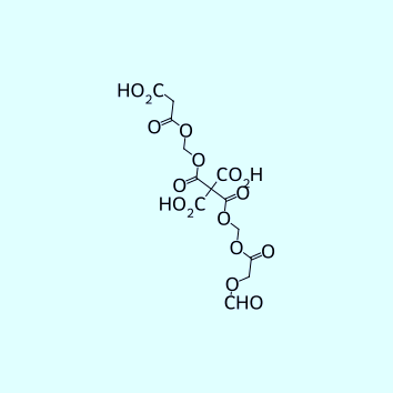 O=COCC(=O)OCOC(=O)C(C(=O)O)(C(=O)O)C(=O)OCOC(=O)CC(=O)O